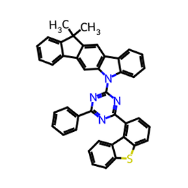 CC1(C)c2ccccc2-c2cc3c(cc21)c1ccccc1n3-c1nc(-c2ccccc2)nc(-c2cccc3sc4ccccc4c23)n1